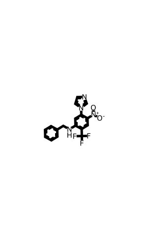 O=[N+]([O-])c1cc(C(F)(F)F)c(NCc2ccccc2)cc1-n1ccnc1